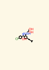 OC[C@@H](O)CNc1nnc(-c2ccc(Cl)cc2O)c2ccc(C#CC3CC3)cc12